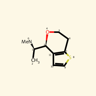 CN[C@H](C)[C@H]1OCCc2sccc21